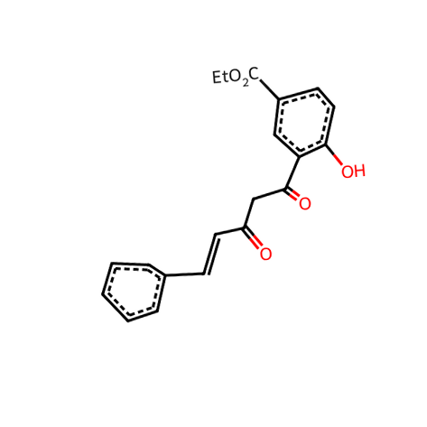 CCOC(=O)c1ccc(O)c(C(=O)CC(=O)/C=C/c2ccccc2)c1